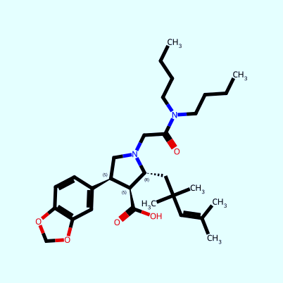 CCCCN(CCCC)C(=O)CN1C[C@H](c2ccc3c(c2)OCO3)[C@H](C(=O)O)[C@H]1CC(C)(C)C=C(C)C